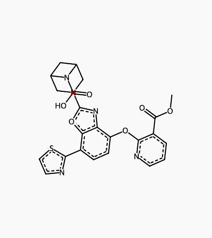 COC(=O)c1cccnc1Oc1ccc(-c2nccs2)c2oc(N3CC4CC(C3)N4C(=O)O)nc12